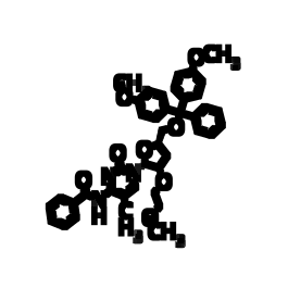 COCCO[C@@H]1C[C@H](COC(c2ccccc2)(c2ccc(OC)cc2)c2ccc(OC)cc2)O[C@H]1n1cc(C)c(NC(=O)c2ccccc2)nc1=O